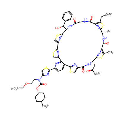 CNC(=O)C[C@@H]1NC(=O)c2csc(n2)-c2ccc(-c3nc(N(CCOCC(=O)O)C(=O)O[C@H]4CC[C@H](C(=O)O)CC4)cs3)nc2-c2csc(n2)-c2csc(n2)[C@H]([C@@H](O)c2ccccc2)NC(=O)CNC(=O)c2nc(sc2COC)[C@H](C(C)C)NC(=O)c2nc1sc2C